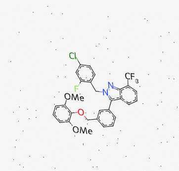 COc1cccc(OC)c1OCc1cccc(-c2c3cccc(C(F)(F)F)c3nn2Cc2ccc(Cl)cc2F)c1